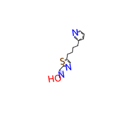 O/N=C/c1ncc(CCCCc2cccnc2)s1